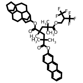 CC(C)(CC(C)(CC(C)(C)C(=O)Oc1ccc2cc3ccccc3cc2c1)C(=O)OC1CC23CCC4C5CCC6(CCC(C1C2)C3C46)C5)C(=O)OCC(C(F)(F)F)C(F)(F)F